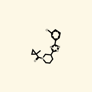 CC1(C(=O)N2CCCC(c3nc(-c4cccc(Cl)c4)no3)C2)CC1